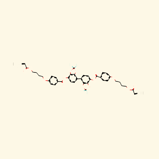 C=CC(=O)OCCCCOc1ccc(C(=O)Oc2ccc(-c3ccc(OC(=O)c4ccc(OCCCCOC(=O)C=C)cc4)c4c3OC(F)(F)O4)c3c2OC(F)(F)O3)cc1